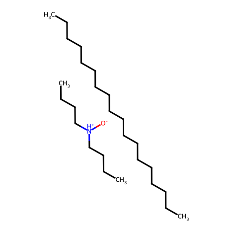 CCCCCCCCCCCCCCCCCC.CCCC[NH+]([O-])CCCC